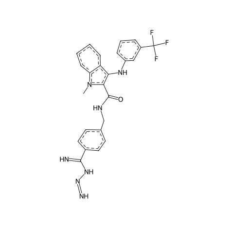 Cn1c(C(=O)NCc2ccc(C(=N)NN=N)cc2)c(Nc2cccc(C(F)(F)F)c2)c2ccccc21